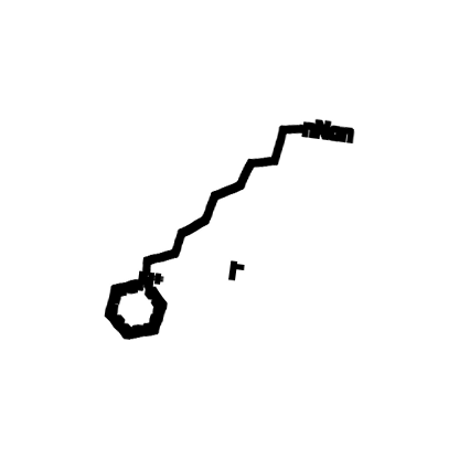 CCCCCCCCCCCCCCCCCC[n+]1ccccc1.[I-]